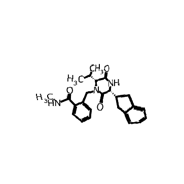 CNC(=O)c1ccccc1CN1C(=O)[C@@H](C2Cc3ccccc3C2)NC(=O)[C@H]1C(C)C